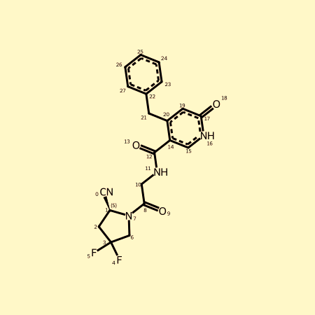 N#C[C@@H]1CC(F)(F)CN1C(=O)CNC(=O)c1c[nH]c(=O)cc1Cc1ccccc1